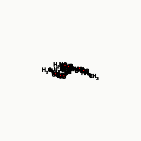 CCCCCNC(=O)CCc1cn(Cc2ccc(C(=O)NCCCCC(NC(=O)COCCOCCNC(=O)c3ccc(Cn4cc(CCC(=O)NCCCCC)nn4)cc3)C(=O)NCC(=O)NC(CSSC(C)(C)C)C(=O)NCC(N)=O)cc2)nn1